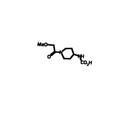 COCC(=O)N1CCC(NC(=O)O)CC1